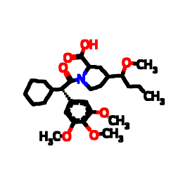 CCCC(OC)C1CCN(C(=O)[C@H](c2cc(OC)c(OC)c(OC)c2)C2CCCCC2)C(C(=O)O)C1